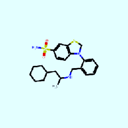 CC(CC1CCCCC1)NCc1ccccc1N1CSc2cc(S(N)(=O)=O)ccc21